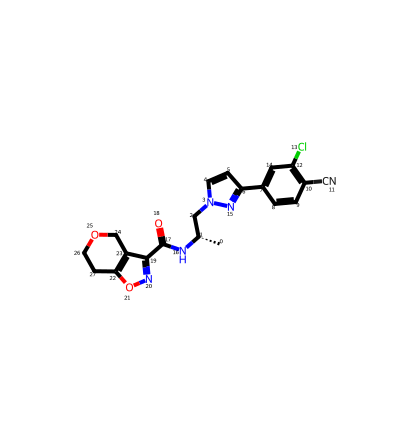 C[C@@H](Cn1ccc(-c2ccc(C#N)c(Cl)c2)n1)NC(=O)c1noc2c1COCC2